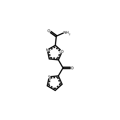 NC(=O)c1ncc(C(=O)c2cccs2)o1